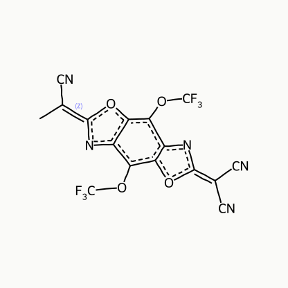 C/C(C#N)=c1\nc2c(OC(F)(F)F)c3oc(=C(C#N)C#N)nc3c(OC(F)(F)F)c2o1